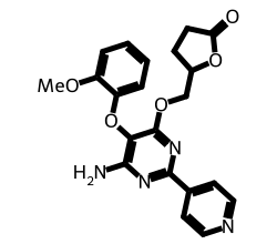 COc1ccccc1Oc1c(N)nc(-c2ccncc2)nc1OCC1CCC(=O)O1